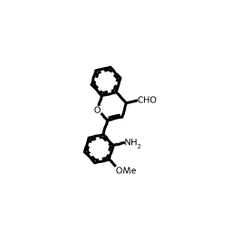 COc1cccc(C2=CC(C=O)c3ccccc3O2)c1N